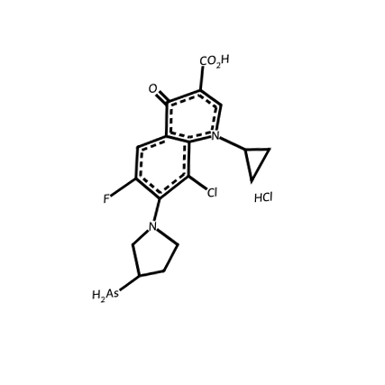 Cl.O=C(O)c1cn(C2CC2)c2c(Cl)c(N3CCC([AsH2])C3)c(F)cc2c1=O